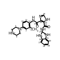 Cc1cc(N2CCNCC2)ccc1NC(=O)c1nc[nH]c1C(=O)NC1Nc2ccccc2N1